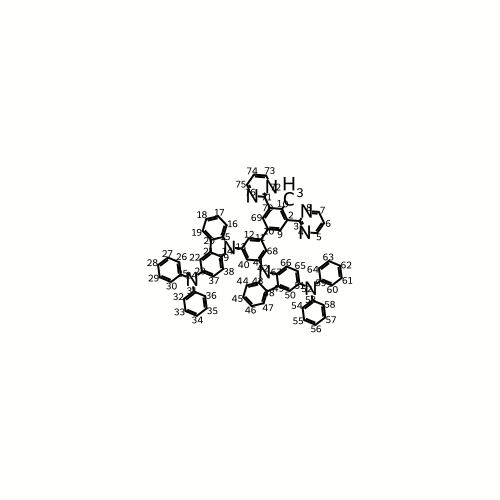 Cc1c(-c2ncccn2)cc(-c2cc(-n3c4ccccc4c4cc(N(c5ccccc5)c5ccccc5)ccc43)cc(-n3c4ccccc4c4cc(N(c5ccccc5)c5ccccc5)ccc43)c2)cc1-c1ncccn1